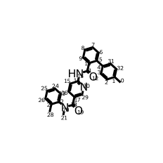 Cc1ccc(-c2ccccc2C(=O)Nc2ccc(C(=O)N(C)c3ccccc3C)cn2)cc1